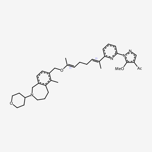 COc1c(C(C)=O)cnn1-c1cccc(/C(C)=C/CC/C=C(\C)OCc2ccc3c(c2C)CCCN(C2CCOCC2)C3)n1